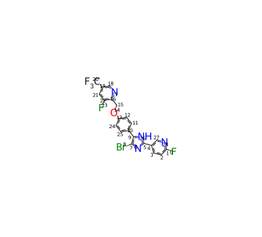 Fc1ccc(-c2nc(Br)c(-c3ccc(OCc4ncc(C(F)(F)F)cc4F)cc3)[nH]2)cn1